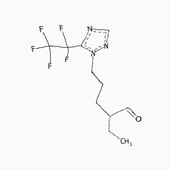 CCC(C=O)CCCn1ncnc1C(F)(F)C(F)(F)F